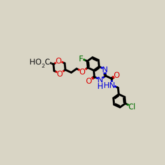 O=C(NCc1cccc(Cl)c1)c1nc2ccc(F)c(OCCC3COC(C(=O)O)CO3)c2c(=O)[nH]1